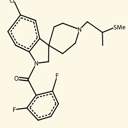 CSC(C)CN1CCC2(CC1)CN(C(=O)c1c(F)cccc1F)c1ccc(Cl)cc12